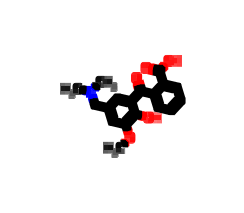 COc1cc(CN(C)C)cc(C(=O)c2ccccc2C(=O)O)c1O